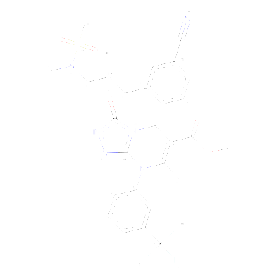 COC(=O)C1=C(C)N(c2cccc(C(F)(F)F)c2)c2n[nH]c(=O)n2[C@@H]1c1ccc(C#N)cc1CCCN(C)S(C)(=O)=O